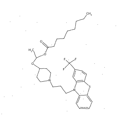 CCCCCCCCC(=O)OC(C)OC1CCN(CCCN2c3ccccc3Sc3ccc(C(F)(F)F)cc32)CC1